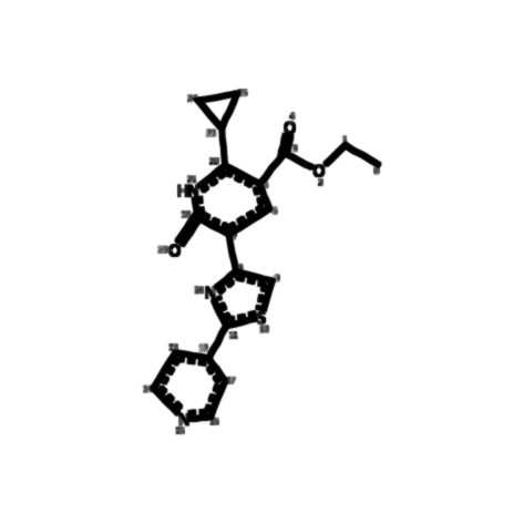 CCOC(=O)c1cc(-c2csc(-c3ccncc3)n2)c(=O)[nH]c1C1CC1